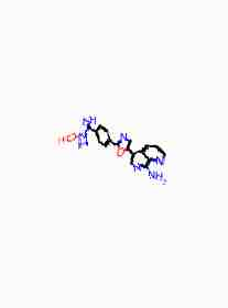 N=C(NO)c1ccc(-c2ncc(-c3cnc(N)c4ncccc34)o2)cc1